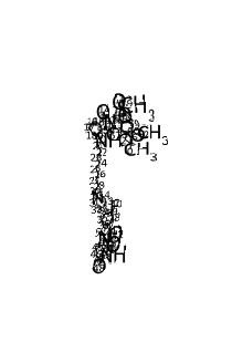 CCOc1cc(C(CS(C)(=O)=O)N2C(=O)c3cccc(NCCCCCCCCCN4CCC(c5cc6c(cc5F)C(=O)N(C5CCC(=O)NC5=O)C6)CC4)c3C2=O)ccc1OC